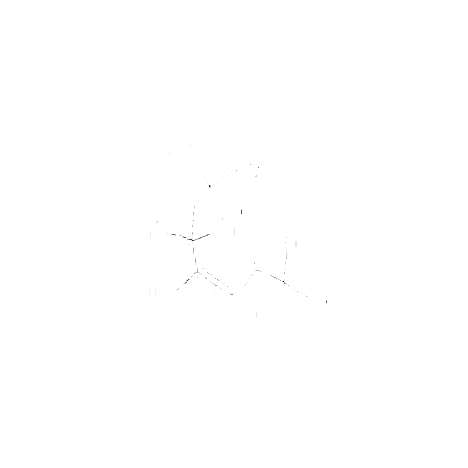 CCC(C)(C)C/C=C(/C)C(C)(C)CC(C)(C)C(=O)O